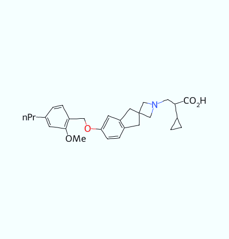 CCCc1ccc(COc2ccc3c(c2)CC2(C3)CN(CC(C(=O)O)C3CC3)C2)c(OC)c1